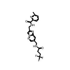 Cc1cccc(C(=O)NCc2cn3ncc(CNC(=O)CCC(F)(F)F)cc3n2)n1